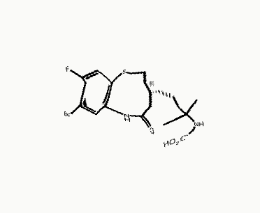 CC(C)(C[C@H]1CSc2cc(F)c(Br)cc2NC1=O)NC(=O)O